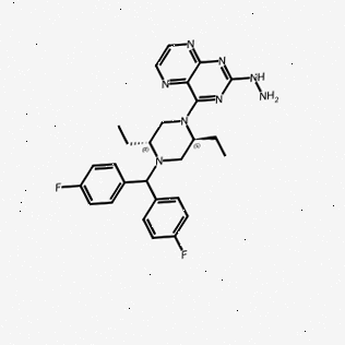 CC[C@H]1CN(C(c2ccc(F)cc2)c2ccc(F)cc2)[C@H](CC)CN1c1nc(NN)nc2nccnc12